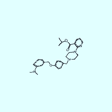 CC(C)OC(=O)c1cccnc1N1CCN(Cc2ccc(OCc3cccc(N(C)C)c3)cc2)CC1